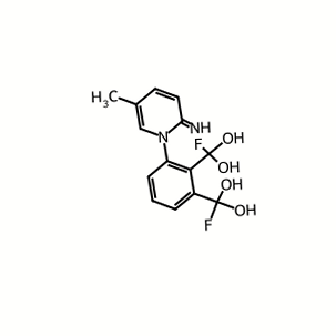 Cc1ccc(=N)n(-c2cccc(C(O)(O)F)c2C(O)(O)F)c1